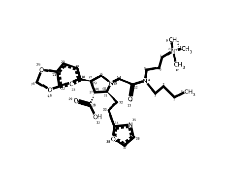 CCCCN(CCC[N+](C)(C)C)C(=O)CN1C[C@H](c2ccc3c(c2)OCO3)[C@@H](C(=O)O)[C@@H]1CCc1ncco1